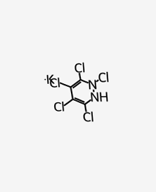 ClC1=C(Cl)C(Cl)=C(Cl)N(Cl)N1.[K]